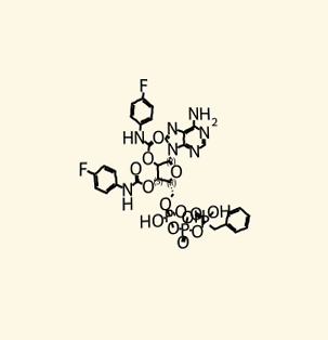 Nc1ncnc2c1ncn2[C@@H]1O[C@H](COP(=O)(O)OP(=O)(O)OP(=O)(O)Cc2ccccc2)[C@H](OC(=O)Nc2ccc(F)cc2)C1OC(=O)Nc1ccc(F)cc1